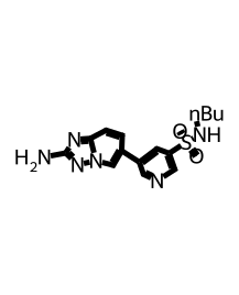 CCCCNS(=O)(=O)c1cncc(-c2ccc3nc(N)nn3c2)c1